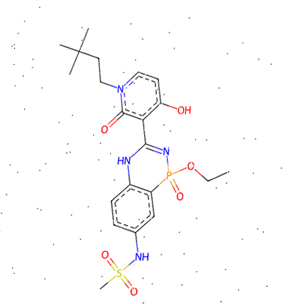 CCOP1(=O)N=C(c2c(O)ccn(CCC(C)(C)C)c2=O)Nc2ccc(NS(C)(=O)=O)cc21